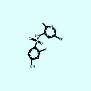 Cc1ncc(Br)cc1NS(=O)(=O)c1ccc(C#N)cc1F